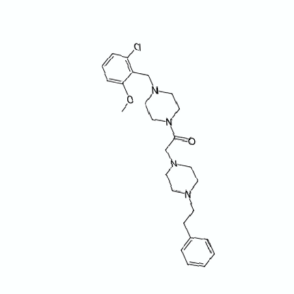 COc1cccc(Cl)c1CN1CCN(C(=O)CN2CCN(CCc3ccccc3)CC2)CC1